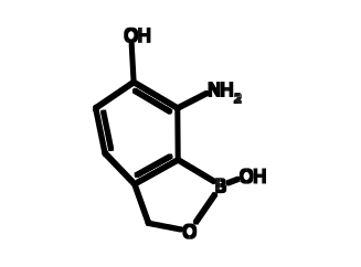 Nc1c(O)ccc2c1B(O)OC2